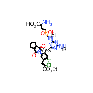 CCNc1nc(NC(C)(C)C)nc(SC)n1.CCOC(=O)/C(Cl)=C/c1cc(N2C(=O)C3=C(CCCC3)C2=O)ccc1Cl.CP(=O)(O)CCC(N)C(=O)O